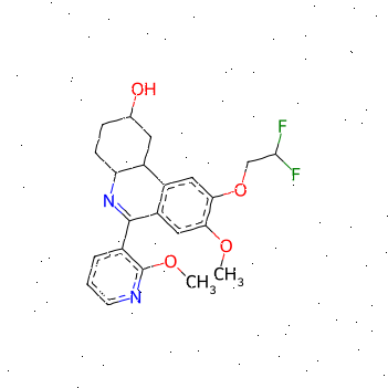 COc1cc2c(cc1OCC(F)F)C1CC(O)CCC1N=C2c1cccnc1OC